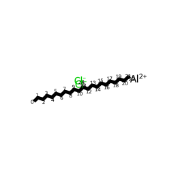 CCCCCCCCCCCCCCCCCCCCC[CH2][Al+2].[Cl-].[Cl-]